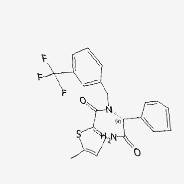 Cc1ccc(C(=O)N(Cc2cccc(C(F)(F)F)c2)[C@@H](C(N)=O)c2ccccc2)s1